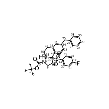 CC(C)(C)OC(=O)N1CC[C@@]2(S(=O)(=O)c3ccc(F)cc3)c3ccc(Cc4ccccc4)cc3CC[C@@H]12